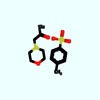 CC(C)(C)C(=O)C[S+]1CCOCC1.Cc1ccc(S(=O)(=O)[O-])cc1